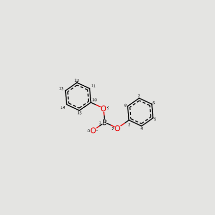 [O]B(Oc1ccccc1)Oc1ccccc1